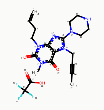 C=CCCn1c(=O)n(C)c(=O)c2c1nc(N1CCNCC1)n2CC#CC.O=C(O)C(F)(F)F